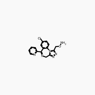 NOCc1nnc2n1-c1ccc(Cl)cc1C(c1ccccn1)=NC2